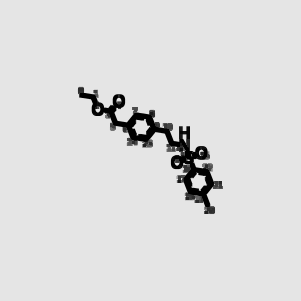 CCOC(=O)Cc1ccc(CCNS(=O)(=O)c2ccc(C)cc2)cc1